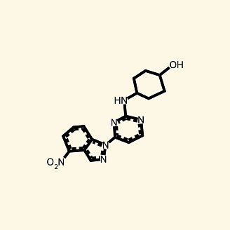 O=[N+]([O-])c1cccc2c1cnn2-c1ccnc(NC2CCC(O)CC2)n1